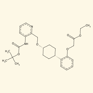 CCOC(=O)COc1ccccc1[C@H]1CC[C@@H](OCc2ncccc2NC(=O)OC(C)(C)C)CC1